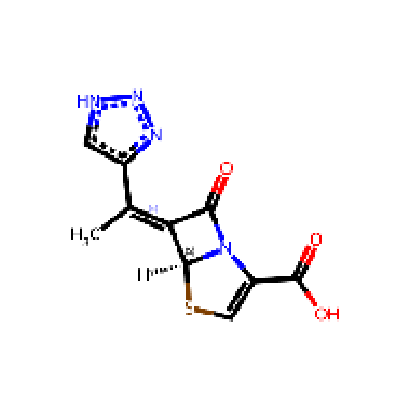 C/C(=C1/C(=O)N2C(C(=O)O)=CS[C@@H]12)c1c[nH]nn1